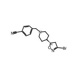 N#Cc1ccc(CN2CCC([C@H]3CC(Br)=NO3)CC2)cc1